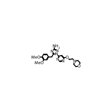 COc1ccc(Cc2nc(N)nn2-c2cc(OCCN3CCOCC3)ncn2)cc1OC